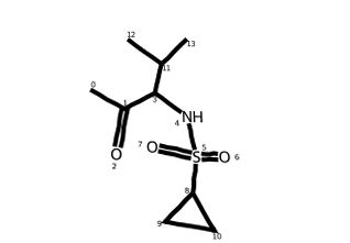 CC(=O)C(NS(=O)(=O)C1CC1)C(C)C